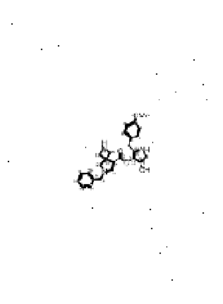 COc1ccc(C[C@H]2NC[C@H](O)[C@H]2OC(=O)[C@H]2CN(Cc3ccccc3)CC23CNC3)cc1